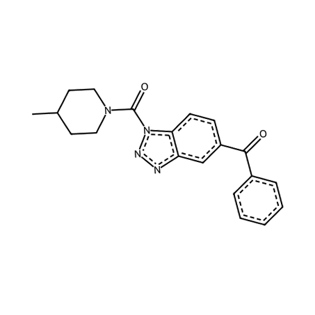 CC1CCN(C(=O)n2nnc3cc(C(=O)c4ccccc4)ccc32)CC1